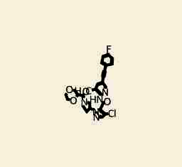 Cc1cc(C#Cc2ccc(F)cc2)cnc1NC(=O)c1c(Cl)cnn1C1CCN(C(=O)C2COCCO2)C1